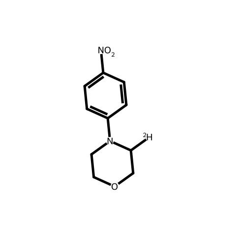 [2H]C1COCCN1c1ccc([N+](=O)[O-])cc1